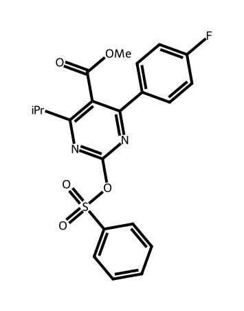 COC(=O)c1c(-c2ccc(F)cc2)nc(OS(=O)(=O)c2ccccc2)nc1C(C)C